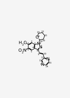 Cc1cc2c(cc1[N+](=O)[O-])c(C=Cc1cnccn1)nn2C1CCCCO1